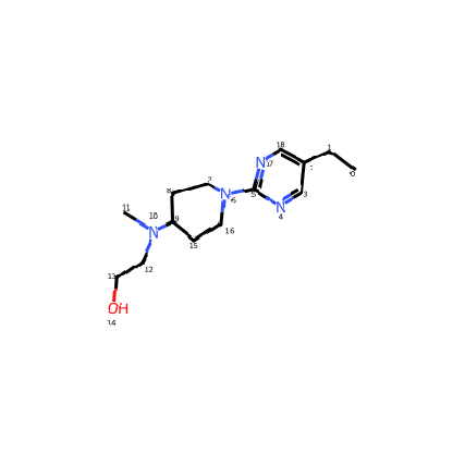 CCc1cnc(N2CCC(N(C)CCO)CC2)nc1